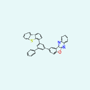 c1ccc(-c2cc(-c3ccc4oc5nc6ccccc6nc5c4c3)cc(-c3cccc4c3sc3ccccc34)c2)cc1